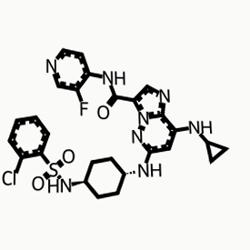 O=C(Nc1ccncc1F)c1cnc2c(NC3CC3)cc(N[C@H]3CC[C@H](NS(=O)(=O)c4ccccc4Cl)CC3)nn12